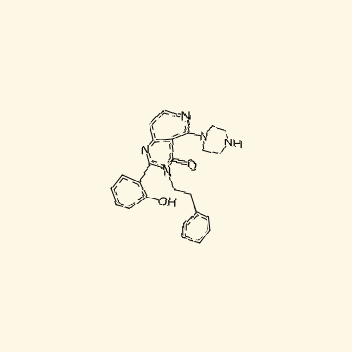 O=c1c2c(N3CCNCC3)nccc2nc(-c2ccccc2O)n1CCc1ccccc1